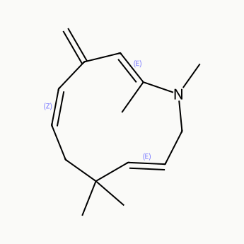 C=C1/C=C\CC(C)(C)/C=C/CN(C)/C(C)=C/1